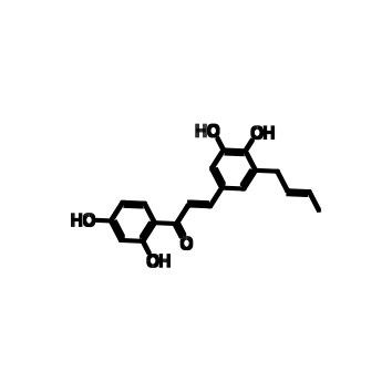 CC=CCc1cc(C=CC(=O)c2ccc(O)cc2O)cc(O)c1O